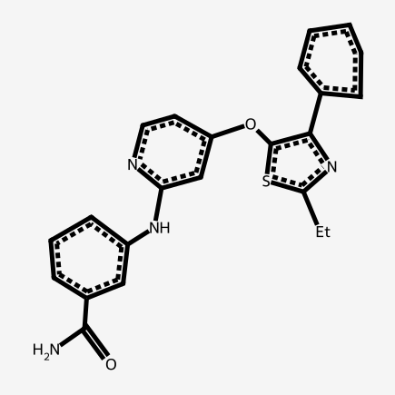 CCc1nc(-c2ccccc2)c(Oc2ccnc(Nc3cccc(C(N)=O)c3)c2)s1